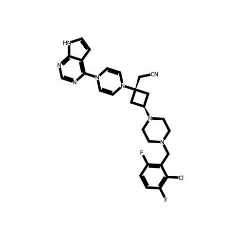 N#CC[C@]1(N2C=CN(c3ncnc4[nH]ccc34)C=C2)C[C@H](N2CCN(Cc3c(F)ccc(F)c3Cl)CC2)C1